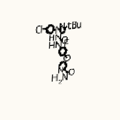 CC(C)(C)c1cc(NC(=O)Nc2ccc(Oc3ccnc(C(N)=O)c3)cc2F)n(-c2ccc(Cl)cc2)n1